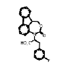 O=C(O)[C@H](Cc1cccc(F)c1)N1C(=O)OCC2c3ccccc3-c3cccc1c32